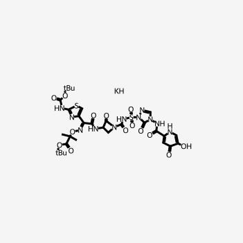 CC(C)(C)OC(=O)Nc1nc(C(=NOC(C)(C)C(=O)OC(C)(C)C)C(=O)NC2CN(C(=O)NS(=O)(=O)n3ncn(NC(=O)c4cc(=O)c(O)c[nH]4)c3=O)C2=O)cs1.[KH]